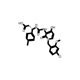 COc1cc(Cl)ccc1Cn1ccc(O)c(NC(=O)N[C@@H](CC(=O)O)c2ccc(C)cc2)c1=O